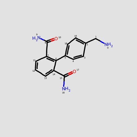 NCc1ccc(-c2c(C(N)=O)cccc2C(N)=O)cc1